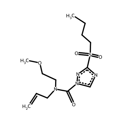 C=CCN(CCOC)C(=O)n1cnc(S(=O)(=O)CCCC)n1